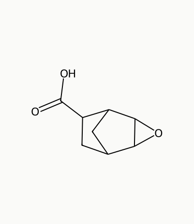 O=C(O)C1CC2CC1C1OC21